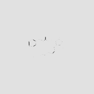 O=C(O)CCC/C=C\CC1[C@@H](O)C[C@@H](O)[C@H]1COC(=O)NCc1ccccc1